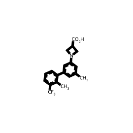 Cc1cc(-c2cccc(C(F)(F)F)c2C)cc(N2CC(C(=O)O)C2)c1